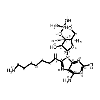 B[PH]1(O)OC[C@H]2O[C@@H](n3c(NCCCCCCN)nc4c(N)nc(Cl)nc43)C(O)[C@@H]2O1